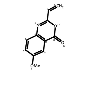 C=Cc1nc2ccc(OC)cc2c(=O)o1